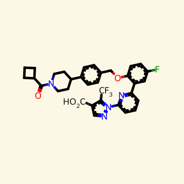 O=C(O)c1cnn(-c2cccc(-c3cc(F)ccc3OCc3ccc(C4CCN(C(=O)C5CCC5)CC4)cc3)n2)c1C(F)(F)F